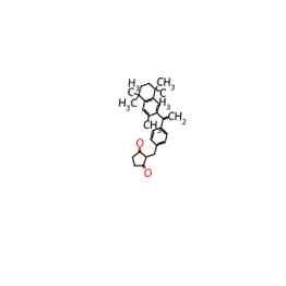 C=C(c1ccc(CC2C(=O)CCC2=O)cc1)c1cc2c(cc1C)C(C)(C)CCC2(C)C